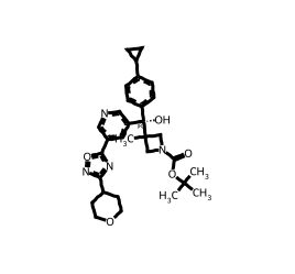 CC(C)(C)OC(=O)N1CC(C)([C@](O)(c2ccc(C3CC3)cc2)c2cncc(-c3nc(C4CCOCC4)no3)c2)C1